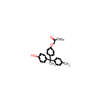 COC(=O)COc1ccc(C(C)(c2ccc(C)cc2)c2ccc(O)cc2)cc1